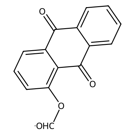 O=[C]Oc1cccc2c1C(=O)c1ccccc1C2=O